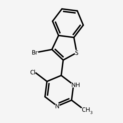 CC1=NC=C(Cl)C(c2sc3ccccc3c2Br)N1